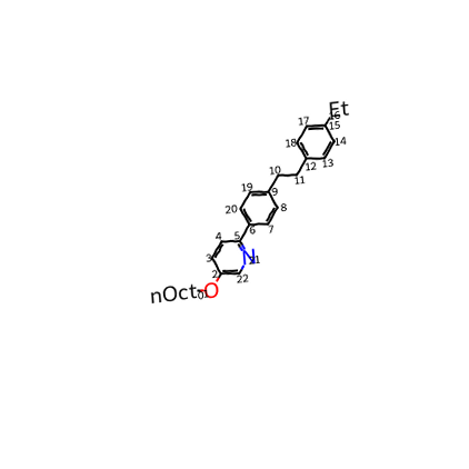 CCCCCCCCOc1ccc(-c2ccc(CCc3ccc(CC)cc3)cc2)nc1